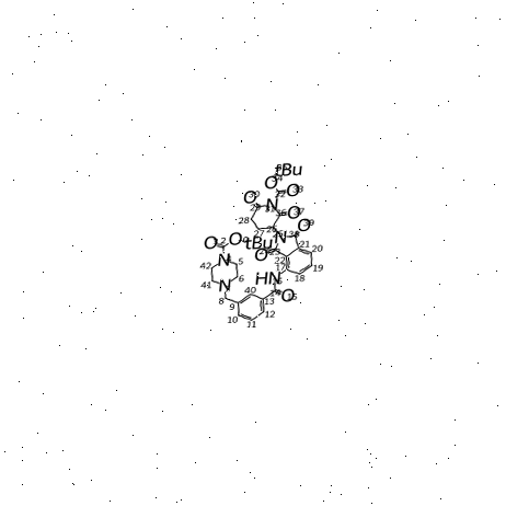 CC(C)(C)OC(=O)N1CCN(Cc2cccc(C(=O)Nc3cccc4c3C(=O)N(C3CCC(=O)N(C(=O)OC(C)(C)C)C3=O)C4=O)c2)CC1